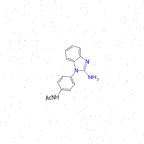 CC(=O)Nc1ccc(-n2c(N)nc3ccccc32)cc1